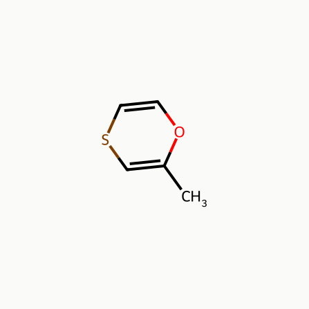 CC1=CSC=CO1